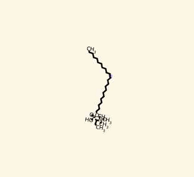 CCCCCCCCCC/C=C\CCCCCCCCCCCOP(=O)(O)C(CC)[N+](C)(C)C